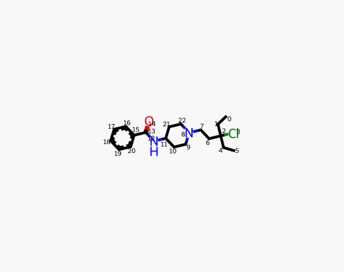 CCC(Cl)(CC)CCN1CCC(NC(=O)c2ccccc2)CC1